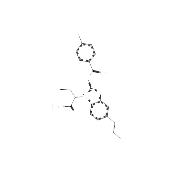 CCCc1ccc2c(c1)sc(=NC(=O)c1ccc(C)cc1)n2C(CC)C(=O)O